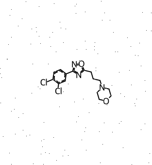 Clc1ccc(-c2noc(CCCN3CCOCC3)n2)cc1Cl